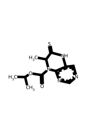 CC(C)OC(=O)N1c2ncncc2NC(=S)C1C